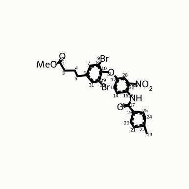 COC(=O)CCCc1cc(Br)c(Oc2ccc(NC(=O)c3ccc(C)cc3)c([N+](=O)[O-])c2)c(Br)c1